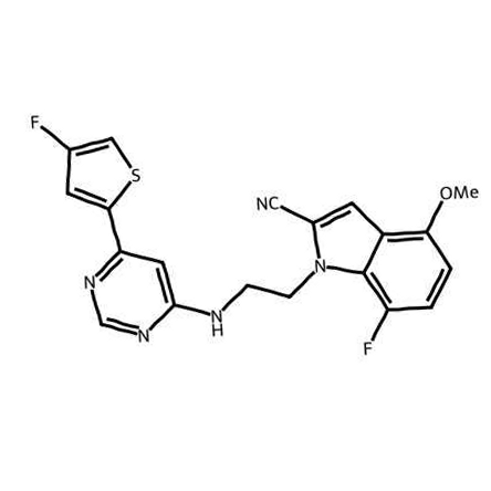 COc1ccc(F)c2c1cc(C#N)n2CCNc1cc(-c2cc(F)cs2)ncn1